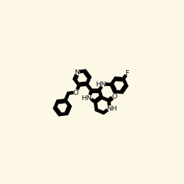 O=C1NCCc2[nH]c(-c3ccncc3OCc3ccccc3)c(Nc3cccc(F)c3)c21